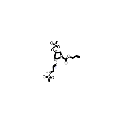 C=CCOC(=O)N1C[C@H](OS(C)(=O)=O)C[C@H]1/C=C/CNS(C)(=O)=O